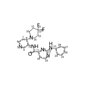 O=C(Nc1cnccc1N1CCC(F)(F)CC1)c1ccnc(Nc2ccccc2)n1